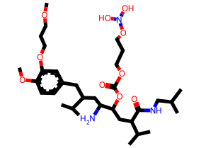 COCCCOc1cc(CC(CC(N)C(CC(C(=O)NCC(C)C)C(C)C)OC(=O)OCCCON(O)O)C(C)C)ccc1OC